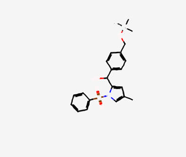 Cc1cc(C(O)c2ccc(CO[Si](C)(C)C(C)(C)C)cc2)n(S(=O)(=O)c2ccccc2)c1